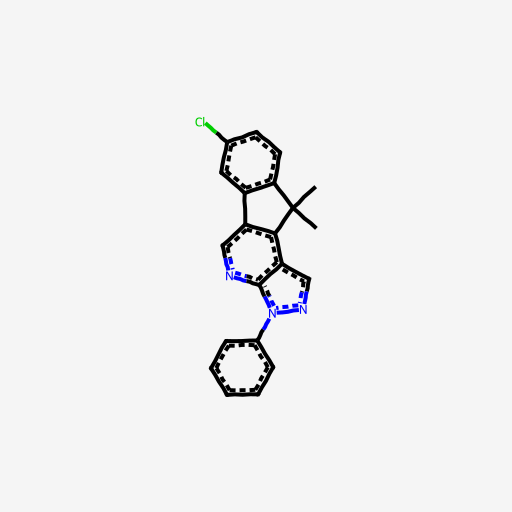 CC1(C)c2ccc(Cl)cc2-c2cnc3c(cnn3-c3ccccc3)c21